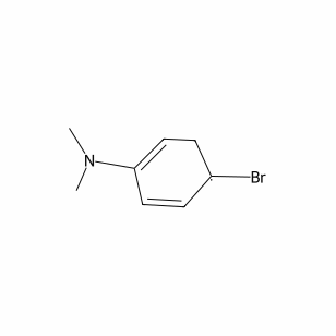 CN(C)C1=CC[C](Br)C=C1